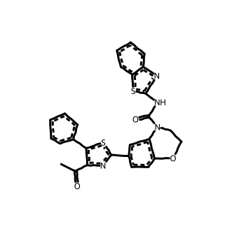 CC(=O)c1nc(-c2ccc3c(c2)N(C(=O)Nc2nc4ccccc4s2)CCO3)sc1-c1ccccc1